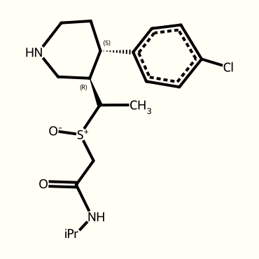 CC(C)NC(=O)C[S+]([O-])C(C)[C@H]1CNCC[C@@H]1c1ccc(Cl)cc1